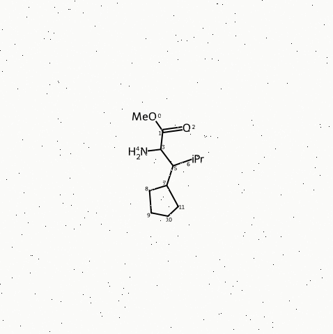 COC(=O)C(N)C(C(C)C)C1CCCC1